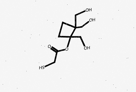 O=C(CS)OC1(CO)CCC1(CO)CO